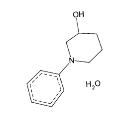 O.OC1CCCN(c2ccccc2)C1